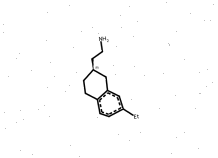 CCc1ccc2c(c1)C[C@H](CCN)CC2